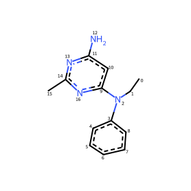 CCN(c1ccccc1)c1cc(N)nc(C)n1